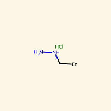 CCCNN.Cl